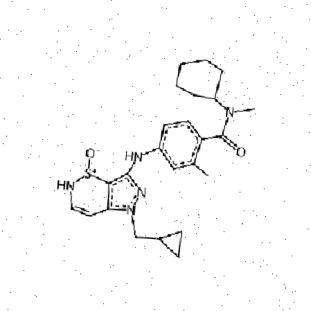 Cc1cc(Nc2nn(CC3CC3)c3c2[S+]([O-])NC=C3)ccc1C(=O)N(C)C1CCCCC1